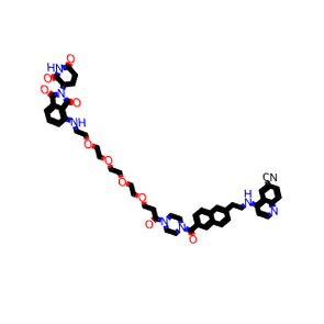 N#Cc1ccc2nccc(NCCc3ccc4cc(C(=O)N5CCN(C(=O)CCOCCOCCOCCOCCNc6cccc7c6C(=O)N(C6CCC(=O)NC6=O)C7=O)CC5)ccc4c3)c2c1